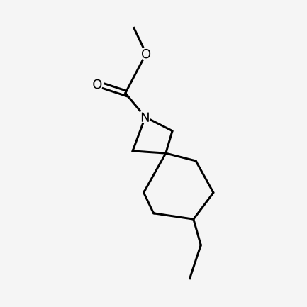 CCC1CCC2(CC1)CN(C(=O)OC)C2